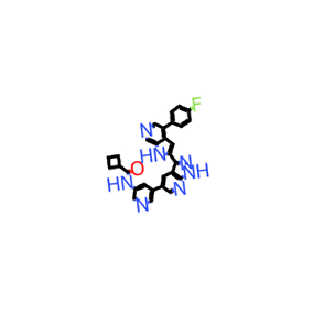 O=C(Nc1cncc(-c2cnc3[nH]nc(-c4cc5c(-c6ccc(F)cc6)cncc5[nH]4)c3c2)c1)C1CCC1